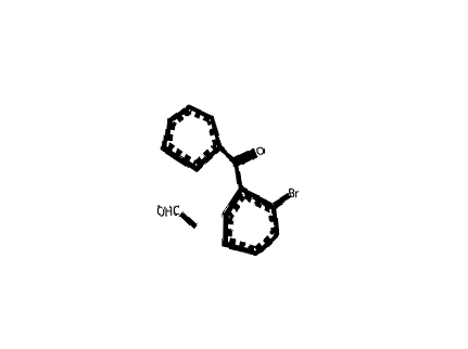 CC=O.O=C(c1ccccc1)c1ccccc1Br